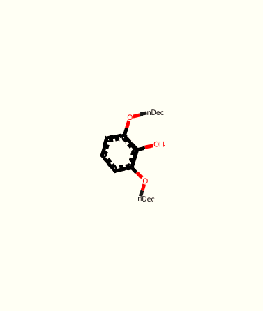 CCCCCCCCCCOc1cccc(OCCCCCCCCCC)c1O